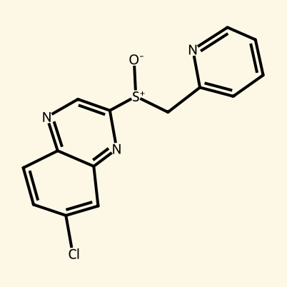 [O-][S+](Cc1ccccn1)c1cnc2ccc(Cl)cc2n1